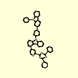 C1=CC(c2nc(-c3ccccc3)nc(-c3cc(-c4cccc5c4c4ccccc4n5-c4ccc(-c5ccc6c7ccccc7n(-c7ccccc7)c6c5)cc4)ccn3)n2)=CCC1